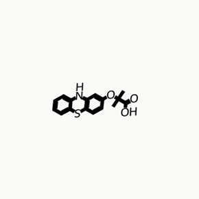 CC(C)(Oc1ccc2c(c1)Nc1ccccc1S2)C(=O)O